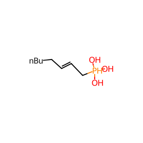 CCCCCC=CC[PH](O)(O)O